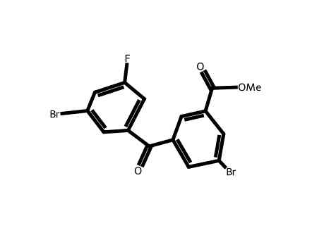 COC(=O)c1cc(Br)cc(C(=O)c2cc(F)cc(Br)c2)c1